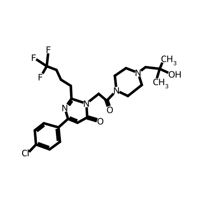 CC(C)(O)CN1CCN(C(=O)Cn2c(CCCC(F)(F)F)nc(-c3ccc(Cl)cc3)cc2=O)CC1